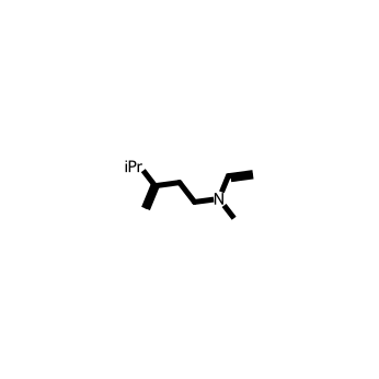 C=CN(C)CCC(=C)C(C)C